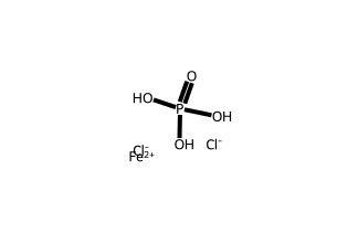 O=P(O)(O)O.[Cl-].[Cl-].[Fe+2]